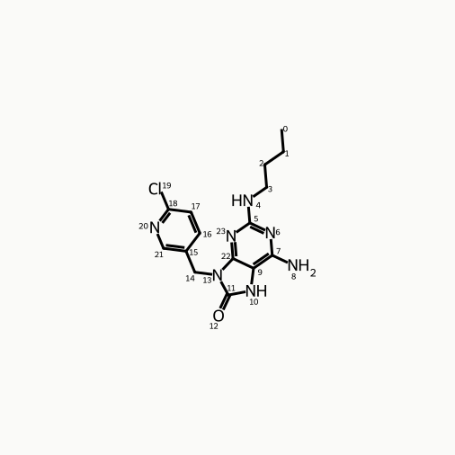 CCCCNc1nc(N)c2[nH]c(=O)n(Cc3ccc(Cl)nc3)c2n1